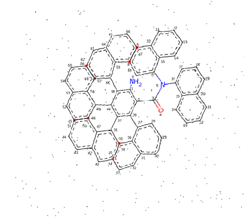 Nc1c(C(=O)N(c2cccc3ccccc23)c2cccc3ccccc23)c(-c2cccc3ccccc23)c(-c2cccc3ccccc23)c(-c2cccc3ccccc23)c1-c1cccc2ccccc12